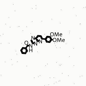 COc1ccc(-c2ccc3ncc(NC(=O)c4ccccc4)nc3n2)cc1OC